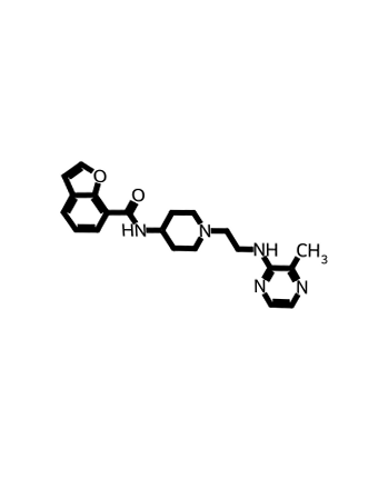 Cc1nccnc1NCCN1CCC(NC(=O)c2cccc3ccoc23)CC1